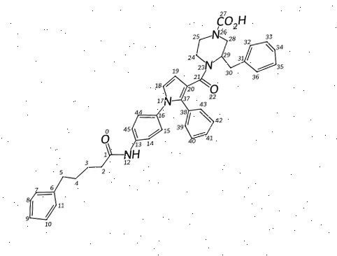 O=C(CCCCc1ccccc1)Nc1ccc(-n2ccc(C(=O)N3CCN(C(=O)O)CC3Cc3ccccc3)c2-c2ccccc2)cc1